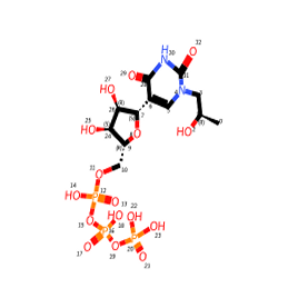 C[C@@H](O)Cn1cc([C@@H]2O[C@H](COP(=O)(O)OP(=O)(O)OP(=O)(O)O)[C@@H](O)[C@H]2O)c(=O)[nH]c1=O